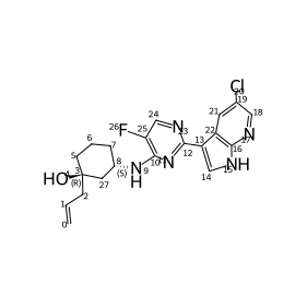 C=CC[C@]1(O)CCC[C@H](Nc2nc(-c3c[nH]c4ncc(Cl)cc34)ncc2F)C1